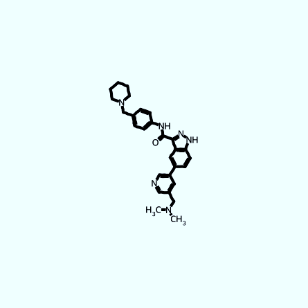 CN(C)Cc1cncc(-c2ccc3[nH]nc(C(=O)Nc4ccc(CN5CCCCC5)cc4)c3c2)c1